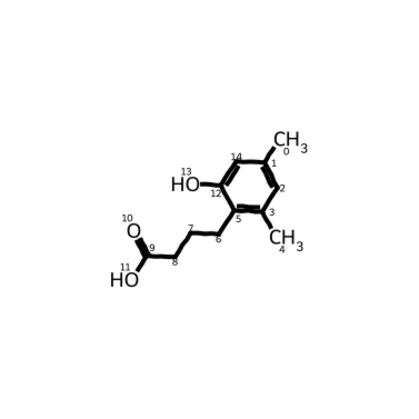 Cc1cc(C)c(CCCC(=O)O)c(O)c1